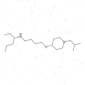 CCCC(CC)NCCCCOC1CCN(CC(C)C)CC1